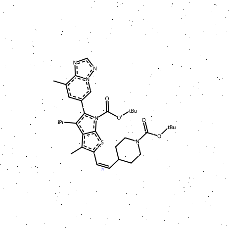 Cc1c(/C=C\C2CCN(C(=O)OC(C)(C)C)CC2)sc2c1c(C(C)C)c(-c1cc(C)c3ncnn3c1)n2C(=O)OC(C)(C)C